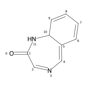 O=C1C=NC=C2C=CC=CC2N1